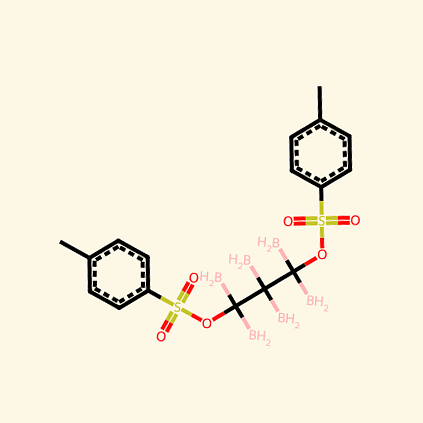 BC(B)(OS(=O)(=O)c1ccc(C)cc1)C(B)(B)C(B)(B)OS(=O)(=O)c1ccc(C)cc1